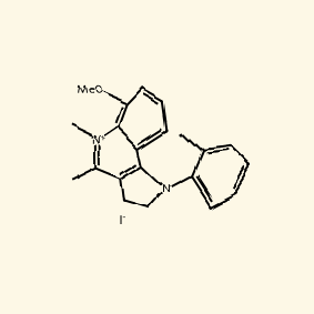 COc1cccc2c3c(c(C)[n+](C)c12)CCN3c1ccccc1C.[I-]